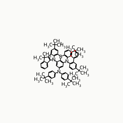 CC(C)(C)c1ccc(N(c2ccc(C(C)(C)C)cc2)c2cc3c4c(c2)-n2c5c(c6cc(C(C)(C)C)cc(c62)B4c2ccc(C(C)(C)C)cc2N3c2ccc(C(C)(C)C)cc2-c2ccccc2)C(C)(C)c2ccccc2-5)cc1